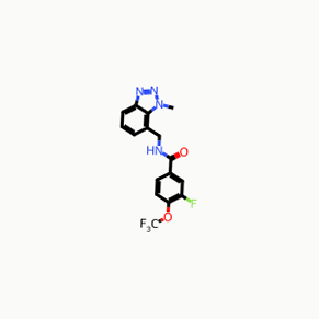 Cn1nnc2cccc(CNC(=O)c3ccc(OC(F)(F)F)c(F)c3)c21